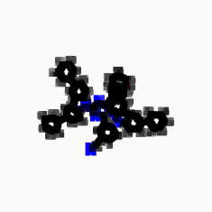 N#Cc1ccc(-n2c3ccc(-c4ccccc4)cc3c3cc(-c4ccccc4)ccc32)c(-c2nc(-c3ccccc3)nc(-n3c4ccc(-c5ccccc5)cc4c4cc(-c5ccccc5)ccc43)n2)c1